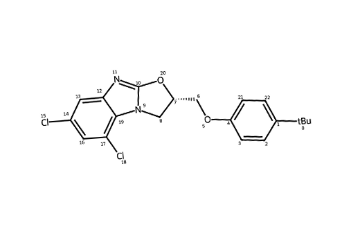 CC(C)(C)c1ccc(OC[C@@H]2Cn3c(nc4cc(Cl)cc(Cl)c43)O2)cc1